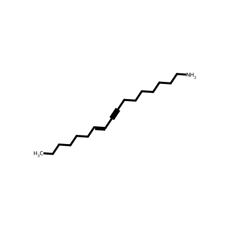 CCCCCC/C=C/C#CCCCCCCCN